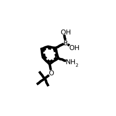 CC(C)(C)Oc1cccc(B(O)O)c1N